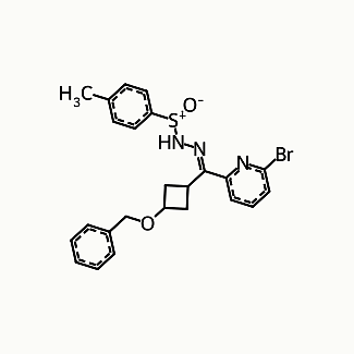 Cc1ccc([S+]([O-])N/N=C(/c2cccc(Br)n2)C2CC(OCc3ccccc3)C2)cc1